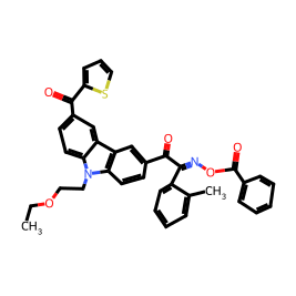 CCOCCn1c2ccc(C(=O)/C(=N/OC(=O)c3ccccc3)c3ccccc3C)cc2c2cc(C(=O)c3cccs3)ccc21